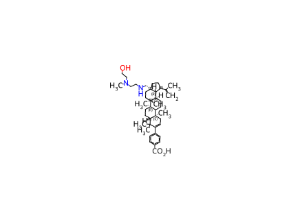 C=C(C)[C@@H]1CC[C@]2(CNCCN(C)CCO)CC[C@]3(C)[C@H](CCC4[C@@]5(C)CC=C(c6ccc(C(=O)O)cc6)C(C)(C)[C@@H]5CC[C@]43C)[C@@H]12